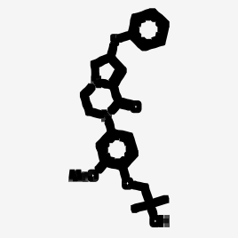 COc1cc(N2CCN3CC(Sc4ccccc4)C=C3C2=O)ccc1OCC(C)(C)O